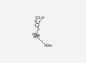 CCCCCCCCCCCCCCCCS(=O)(=O)NCCSc1ccc(OCC(=O)O)c(F)c1